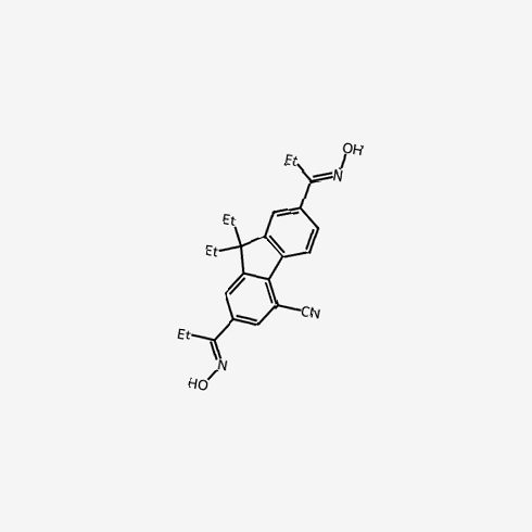 CC/C(=N\O)c1ccc2c(c1)C(CC)(CC)c1cc(/C(CC)=N/O)cc(C#N)c1-2